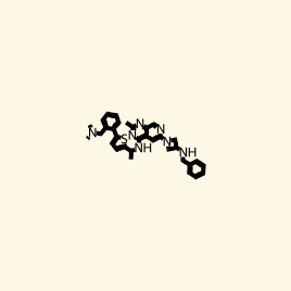 Cc1nc(NC(C)c2ccc(-c3ccccc3CN(C)C)s2)c2cc(N3CC(NCc4ccccc4)C3)ncc2n1